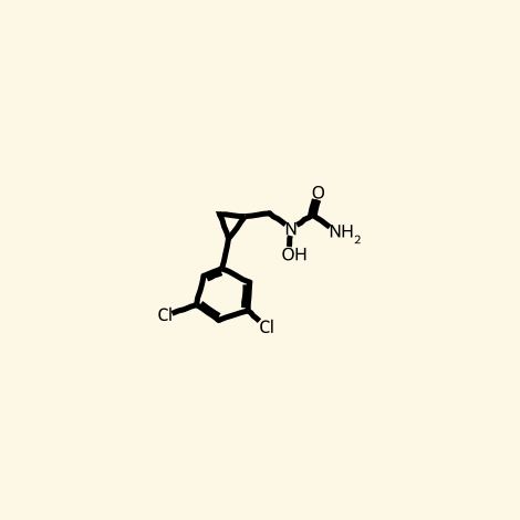 NC(=O)N(O)CC1CC1c1cc(Cl)cc(Cl)c1